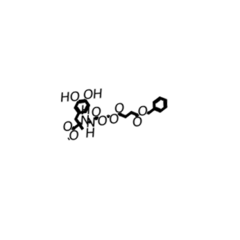 COC(=O)C(C)(Cc1ccc(O)c(O)c1)NNC(=O)OCOC(=O)CCC(=O)OCc1ccccc1